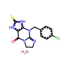 O.O=C1c2[nH]c(=S)[nH]c2N(Cc2ccc(Cl)cc2)C2=NCCN12